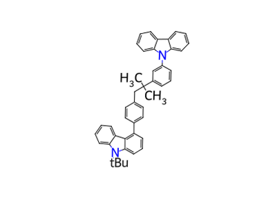 CC(C)(Cc1ccc(-c2cccc3c2c2ccccc2n3C(C)(C)C)cc1)c1cccc(-n2c3ccccc3c3ccccc32)c1